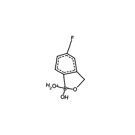 O[B-]1([OH2+])OCc2cc(F)ccc21